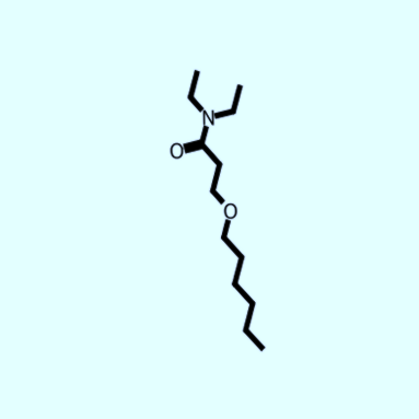 CCCCCCOCCC(=O)N(CC)CC